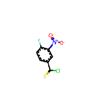 O=[N+]([O-])c1cc(C(=S)Cl)ccc1F